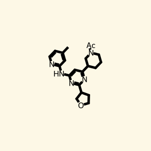 CC(=O)N1CCCC(c2cc(Nc3cc(C)ccn3)nc(C3CCOC3)n2)C1